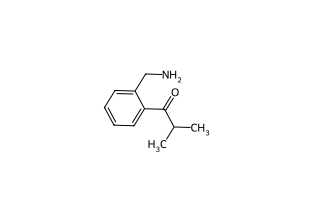 CC(C)C(=O)c1ccccc1CN